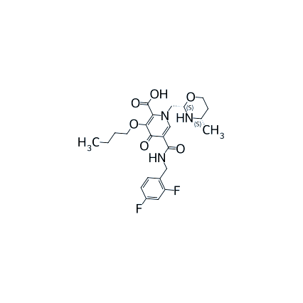 CCCCOc1c(C(=O)O)n(C[C@H]2N[C@@H](C)CCO2)cc(C(=O)NCc2ccc(F)cc2F)c1=O